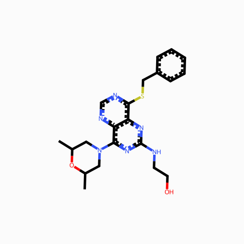 CC1CN(c2nc(NCCO)nc3c(SCc4ccccc4)ncnc23)CC(C)O1